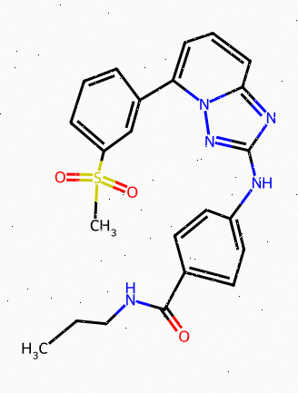 CCCNC(=O)c1ccc(Nc2nc3cccc(-c4cccc(S(C)(=O)=O)c4)n3n2)cc1